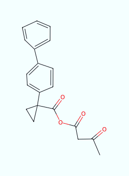 CC(=O)CC(=O)OC(=O)C1(c2ccc(-c3ccccc3)cc2)CC1